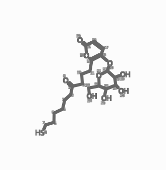 O=C(CCCCCCS)CCCc1oc(=O)ccc1OC1OC(CO)C(O)C(O)C1O